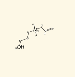 C=CC[N+](C)(C)CCCO